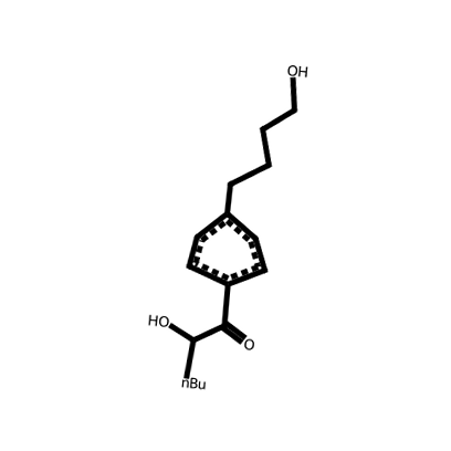 CCCCC(O)C(=O)c1ccc(CCCCO)cc1